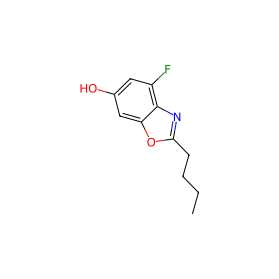 CCCCc1nc2c(F)cc(O)cc2o1